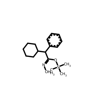 C[Si](C)(C)OC(=NO)C(c1ccccc1)C1CCCCC1